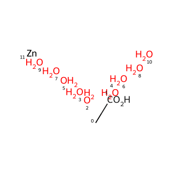 CC(=O)O.O.O.O.O.O.O.O.O.O.[Zn]